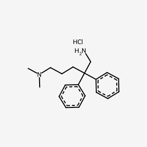 CN(C)CCCC(CN)(c1ccccc1)c1ccccc1.Cl